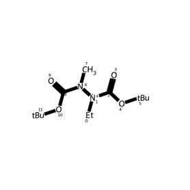 CC[N+](C(=O)OC(C)(C)C)N(C)C(=O)OC(C)(C)C